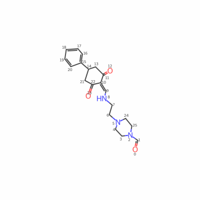 O=CN1CCN(CCNC=C2C(=O)CC(c3ccccc3)CC2=O)CC1